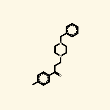 O=C(CCN1CCN(Cc2ccccc2)CC1)c1ccc(I)cc1